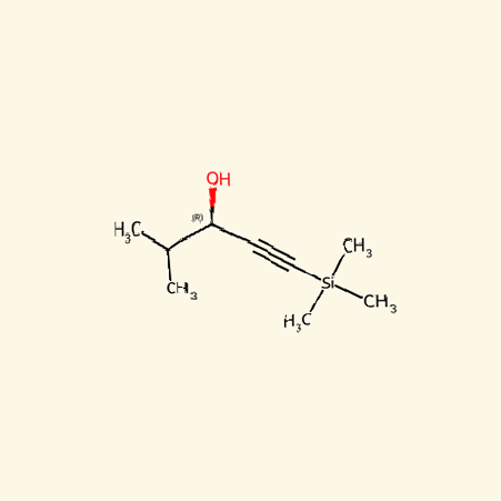 CC(C)[C@@H](O)C#C[Si](C)(C)C